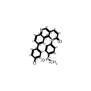 C[S+]([O-])c1ccc(-n2c(=O)ccc3cnc4ccc(-c5ccc(Cl)cc5)cc4c32)cc1